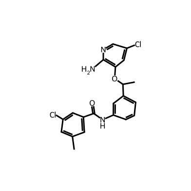 Cc1cc(Cl)cc(C(=O)Nc2cccc(C(C)Oc3cc(Cl)cnc3N)c2)c1